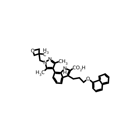 Cc1nn(CC2(C)COC2)c(C)c1-c1cccc2c(CCCOc3cccc4ccccc34)c(C(=O)O)[nH]c12